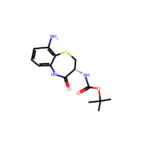 CC(C)(C)OC(=O)N[C@H]1CSc2c(N)cccc2NC1=O